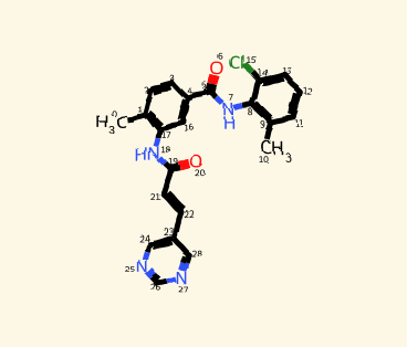 Cc1ccc(C(=O)Nc2c(C)cccc2Cl)cc1NC(=O)C=Cc1cncnc1